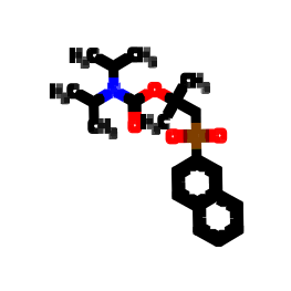 CC(C)N(C(=O)OC(C)(C)CS(=O)(=O)c1ccc2ccccc2c1)C(C)C